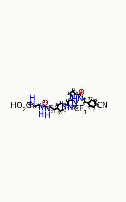 N#Cc1ccc(CCNC(=O)C2CCN2c2cc(N3CCC(CCNC(=O)NCCNC(=O)O)CC3)nc(C(F)(F)F)n2)cc1